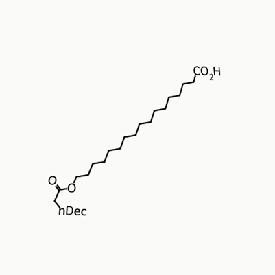 CCCCCCCCCCCC(=O)OCCCCCCCCCCCCCCCCC(=O)O